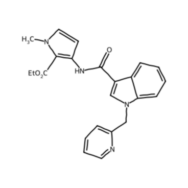 CCOC(=O)c1c(NC(=O)c2cn(Cc3ccccn3)c3ccccc23)ccn1C